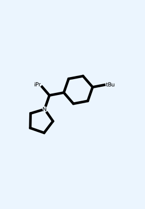 CC(C)C(C1CCC(C(C)(C)C)CC1)N1CCCC1